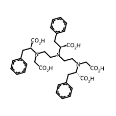 O=C(O)CN(CCN(CCN(CC(=O)O)[C@@H](Cc1ccccc1)C(=O)O)[C@@H](Cc1ccccc1)C(=O)O)[C@@H](Cc1ccccc1)C(=O)O